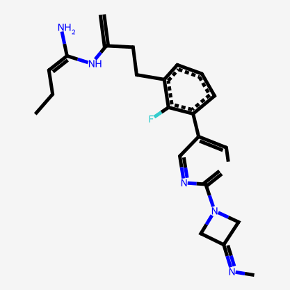 C=C(CCc1cccc(C(/C=N\C(=C)N2CC(=NC)C2)=C/C)c1F)N/C(N)=C\CC